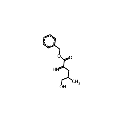 CC(CO)CC(=N)C(=O)OCc1ccccc1